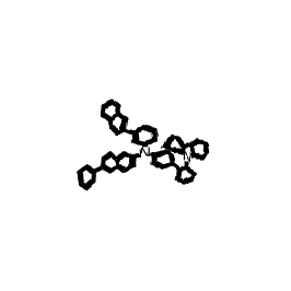 c1ccc(-c2ccc3cc(N(c4ccc(-c5ccccc5-n5c6ccccc6c6ccccc65)cc4)c4cccc(-c5ccc6ccccc6c5)c4)ccc3c2)cc1